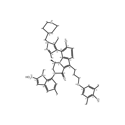 Cc1cc(N2C[C@@H](C)n3c(c(CCCOc4cc(C)c(Cl)c(C)c4)c4ccc(Cl)c(-c5c(C)nn(CC6CCOCC6)c5C)c43)C2=O)c2c(c1)cc(C(=O)O)n2C